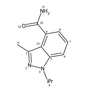 Cc1nn(C(C)C)c2cccc(C(N)=O)c12